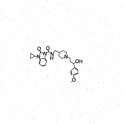 COc1ccc(C(O)CCN2CCC(CNC(=O)n3c(=O)n(C4CC4)c4ccccc43)CC2)cc1